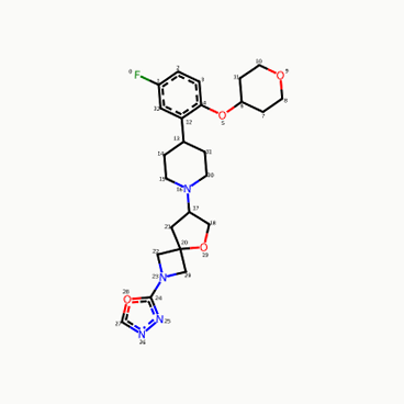 Fc1ccc(OC2CCOCC2)c(C2CCN(C3COC4(C3)CN(c3nnco3)C4)CC2)c1